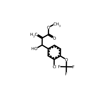 C=C(C(=O)OC)C(O)c1ccc(OC(F)(F)F)c(Cl)c1